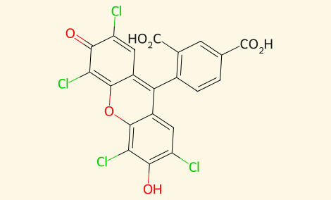 O=C(O)c1ccc(-c2c3cc(Cl)c(=O)c(Cl)c-3oc3c(Cl)c(O)c(Cl)cc23)c(C(=O)O)c1